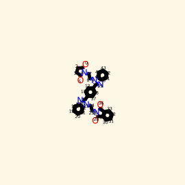 O=C1CCC(=O)N1CCn1c(-c2ccc(-c3nc4ccccc4n3CCN3C(=O)c4ccccc4C3=O)cc2)nc2ccccc21